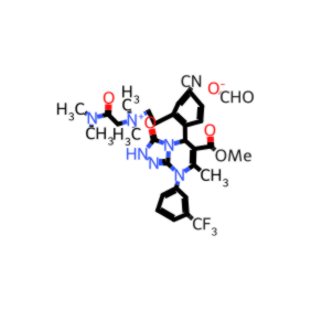 COC(=O)C1=C(C)N(c2cccc(C(F)(F)F)c2)c2n[nH]c(=O)n2C1c1ccc(C#N)cc1CC[N+](C)(C)CC(=O)N(C)C.O=C[O-]